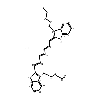 CCCCCN1/C(=C/C=C/C=C/C=C/c2sc3ccccc3[n+]2CCCCC)Sc2ccccc21.[I-]